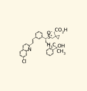 CC(C)(O)c1ccccc1CC[C@@H](c1cccc(/C=C/c2ccc3ccc(Cl)cc3n2)c1)[S+]([O-])CC1(CC(=O)O)CC1